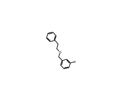 Ic1cccc(COCCc2ccccc2)c1